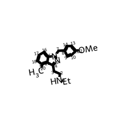 CCNCCc1nn(Cc2ccc(OC)cc2)c2cccc(C)c12